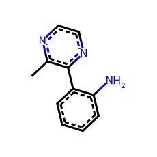 Cc1nccnc1-c1ccccc1N